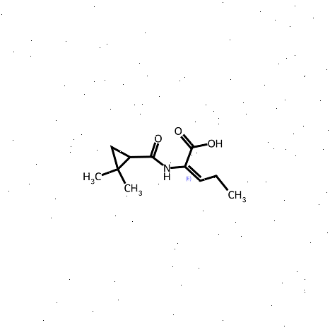 CC/C=C(/NC(=O)C1CC1(C)C)C(=O)O